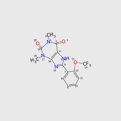 Cn1c(=O)c2[nH]c(-c3ccccc3OC(F)(F)F)nc2n(C)c1=O